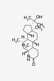 C[C@H]1C[C@H]2NC(=O)CC[C@]2(C)[C@H]2CC[C@]3(C)[C@@H](C(C)(C)O)CC[C@H]3[C@H]12